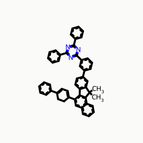 CC1(C)c2cc(-c3cccc(-c4nc(-c5ccccc5)nc(-c5ccccc5)n4)c3)ccc2-c2c(C3=CC=C(c4ccccc4)CC3)cc3ccccc3c21